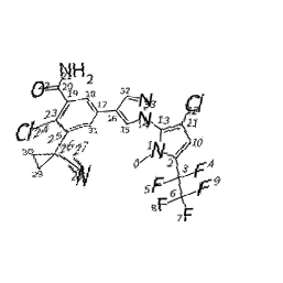 Cn1c(C(F)(F)C(F)(F)F)cc(Cl)c1-n1cc(-c2cc(C(N)=O)c(Cl)c(C3(C#N)CC3)c2)cn1